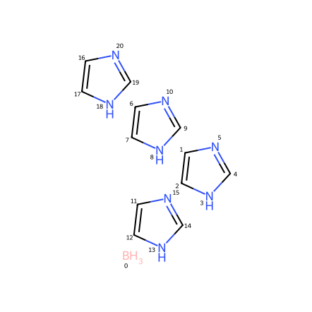 B.c1c[nH]cn1.c1c[nH]cn1.c1c[nH]cn1.c1c[nH]cn1